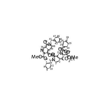 CCOC(=O)c1ccn(Cc2ccccc2)c(=O)c1CN(CC(=O)OC)S(=O)(=O)c1ccc(C)cc1.COC(=O)c1ncc2c(=O)n(Cc3ccccc3)ccc2c1O